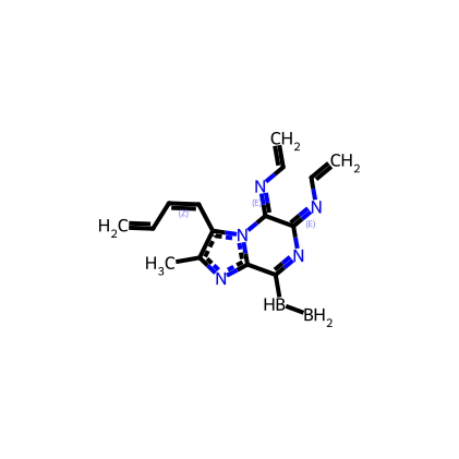 BBC1=NC(=N/C=C)/C(=N\C=C)n2c1nc(C)c2/C=C\C=C